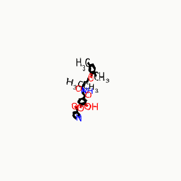 Cc1ccc(C)c(OCCCC(C)(C)C(=O)NCC(=O)c2ccc(OC(=O)c3cccnc3)c(O)c2)c1